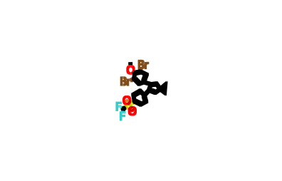 COc1c(Br)cc(C2=CC3(C=C2c2ccc(S(=O)(=O)C(F)F)cc2)CC3)cc1Br